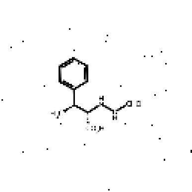 C[C@@H](c1ccccc1)[C@H](NBC=O)C(=O)O